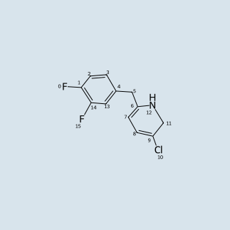 Fc1ccc(CC2=CC=C(Cl)CN2)cc1F